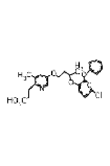 Cc1cc(OCCC(C)Oc2ccc(Cl)cc2Oc2ccccc2)cnc1CCC(=O)O